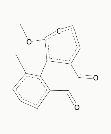 COc1cccc(C=O)c1-c1c(C)cccc1C=O